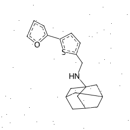 c1coc(-c2ccc(CNC34CC5CC(CC(C5)C3)C4)s2)c1